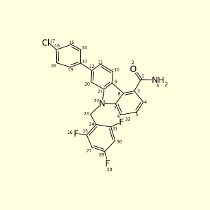 NC(=O)c1cccc2c1c1[c]cc(-c3ccc(Cl)cc3)cc1n2Cc1c(F)cc(F)cc1F